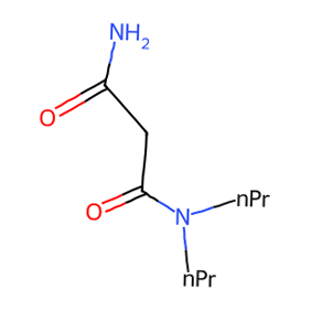 CCCN(CCC)C(=O)CC(N)=O